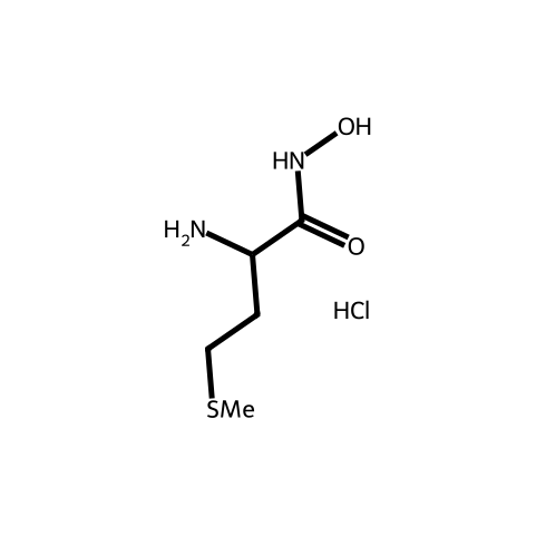 CSCCC(N)C(=O)NO.Cl